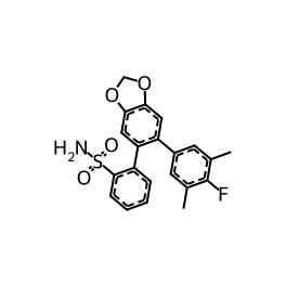 Cc1cc(-c2cc3c(cc2-c2ccccc2S(N)(=O)=O)OCO3)cc(C)c1F